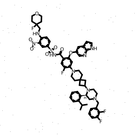 CC(C)c1ccccc1[C@@H]1CN(Cc2cccc(F)c2F)CCN1C1CC2(CCN(c3cc(Oc4cnc5[nH]ccc5c4)c(C(=O)NS(=O)(=O)c4ccc(NCC5(F)CCOCC5)c([N+](=O)[O-])c4)cc3F)CC2)C1